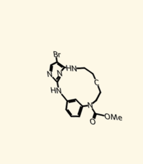 COC(=O)N1CCCCCNc2nc(ncc2Br)Nc2cccc1c2